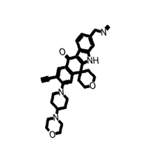 C#Cc1cc2c(cc1N1CCC(N3CCOCC3)CC1)C1(CCOCC1)c1[nH]c3cc(CN=C)ccc3c1C2=O